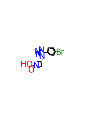 O=C(O)N1CC[C@@H](Cn2nnnc2-c2ccc(Br)cc2)C1